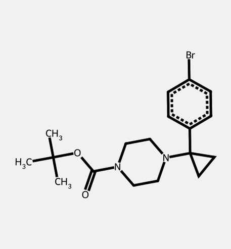 CC(C)(C)OC(=O)N1CCN(C2(c3ccc(Br)cc3)CC2)CC1